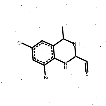 CC1NC(C=S)Nc2c(Br)cc(Cl)cc21